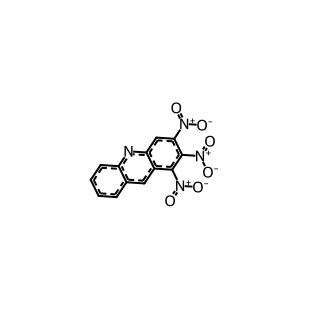 O=[N+]([O-])c1cc2nc3ccccc3cc2c([N+](=O)[O-])c1[N+](=O)[O-]